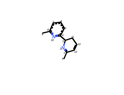 CC1=NC(c2cccc(C)n2)CC=C1